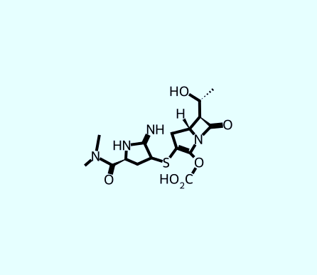 C[C@@H](O)[C@H]1C(=O)N2C(OC(=O)O)=C(SC3C[C@@H](C(=O)N(C)C)NC3=N)C[C@H]12